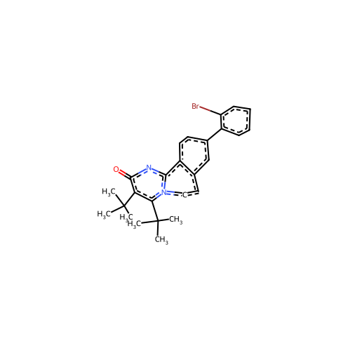 CC(C)(C)c1c(C(C)(C)C)n2ccc3cc(-c4ccccc4Br)ccc3c2nc1=O